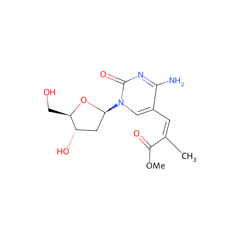 COC(=O)C(C)=Cc1cn([C@H]2C[C@H](O)[C@@H](CO)O2)c(=O)nc1N